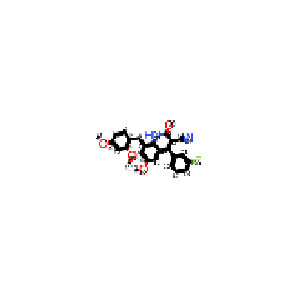 COc1ccc(Cc2cc(OC)cc3c(-c4cccc(F)c4)c(C#N)c(=O)[nH]c23)c(OC)c1